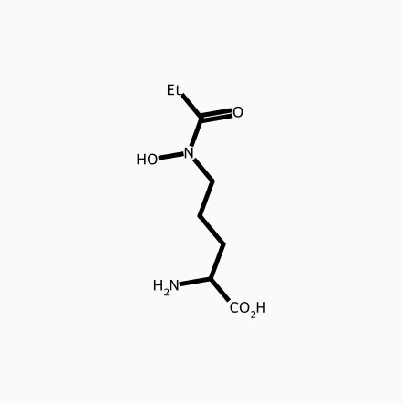 CCC(=O)N(O)CCCC(N)C(=O)O